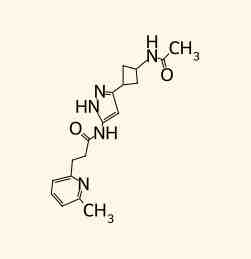 CC(=O)NC1CC(c2cc(NC(=O)CCc3cccc(C)n3)[nH]n2)C1